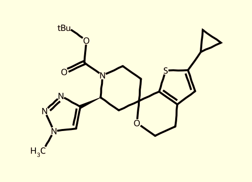 Cn1cc([C@@H]2CC3(CCN2C(=O)OC(C)(C)C)OCCc2cc(C4CC4)sc23)nn1